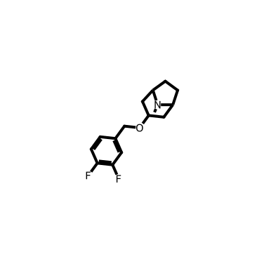 CN1C2CCC1CC(OCc1ccc(F)c(F)c1)C2